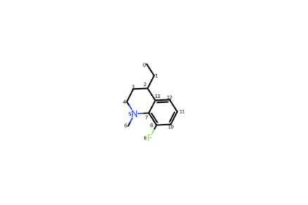 CCC1CCN(C)c2c(F)cccc21